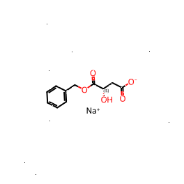 O=C([O-])C[C@H](O)C(=O)OCc1ccccc1.[Na+]